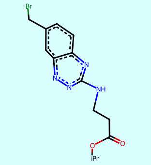 CC(C)OC(=O)CCNc1nnc2cc(CBr)ccc2n1